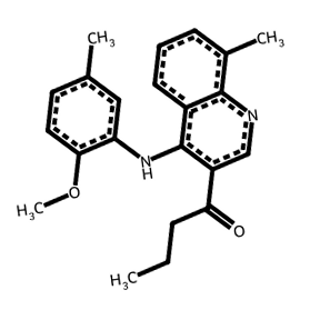 CCCC(=O)c1cnc2c(C)cccc2c1Nc1cc(C)ccc1OC